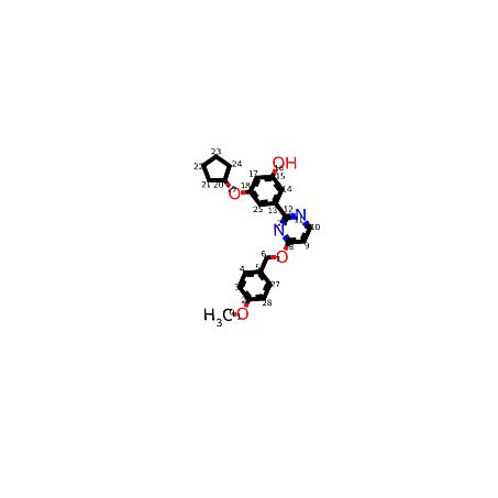 COc1ccc(COc2ccnc(-c3cc(O)cc(OC4CCCC4)c3)n2)cc1